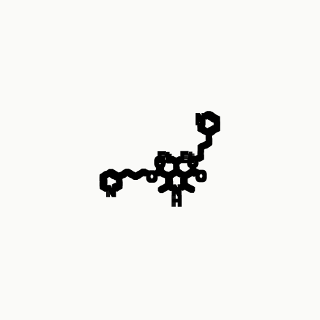 CCC(CC)C1C(C(=O)OCCCc2cccnc2)=C(C)NC(C)=C1C(=O)OCCCc1cccnc1